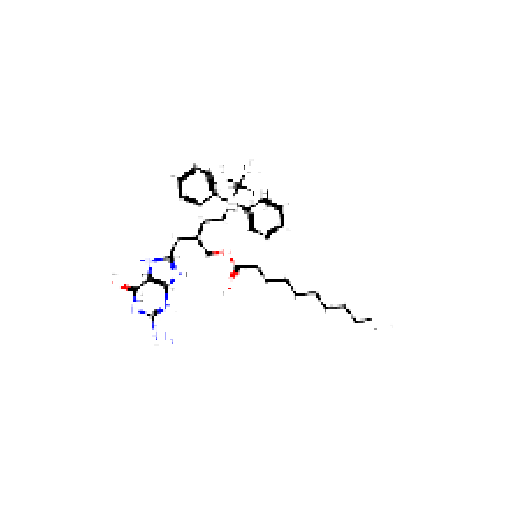 CCCCCCCCCC(=O)OCC(CC[Si](c1ccccc1)(c1ccccc1)C(C)(C)C)Cc1nc2nc(N)[nH]c(=O)c2[nH]1